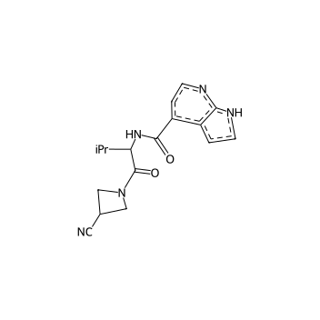 CC(C)C(NC(=O)c1ccnc2[nH]ccc12)C(=O)N1CC(C#N)C1